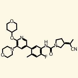 C/C(C#N)=C1\CCN(C(=O)Nc2cc(-c3cnc(OC4CCOCC4)c(N4CCOCC4)c3)c(C)cc2F)C1